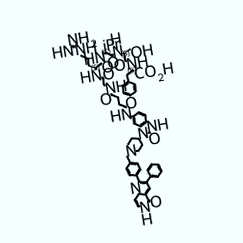 CC(C)[C@H](NC(=O)[C@H](CCCNC(=N)N)NC(=O)CNC(=O)CCC(=O)Nc1ccc2[nH]c(=O)n(C3CCN(Cc4ccc(-c5nc6cc[nH]c(=O)c6cc5-c5ccccc5)cc4)CC3)c2c1)C(=O)N[C@@H](CO)C(=O)N[C@@H](Cc1ccccc1)C(=O)O